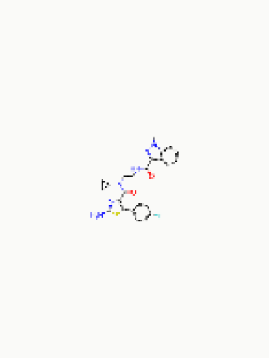 Cn1nc(C(=O)NCCN(C(=O)c2nc(N)sc2-c2ccc(F)cc2)C2CC2)c2ccccc21